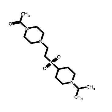 CC(=O)N1CCN(CCS(=O)(=O)C2CCN(C(C)C)CC2)CC1